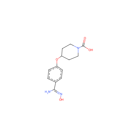 NC(=NO)c1ccc(OC2CCN(C(=O)O)CC2)cc1